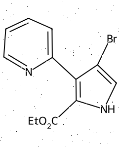 CCOC(=O)c1[nH]cc(Br)c1-c1ccccn1